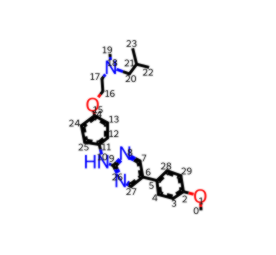 COc1ccc(-c2cnc(Nc3ccc(OCCN(C)CC(C)C)cc3)nc2)cc1